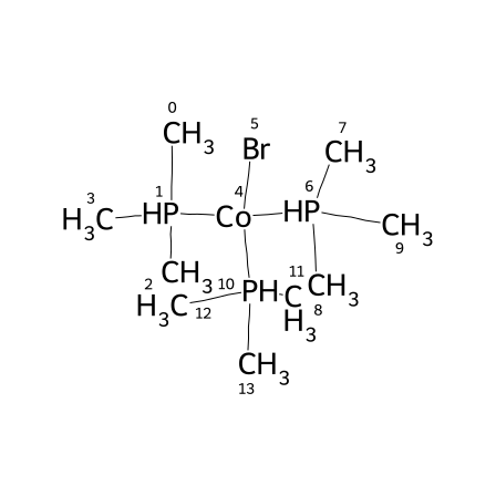 C[PH](C)(C)[Co]([Br])([PH](C)(C)C)[PH](C)(C)C